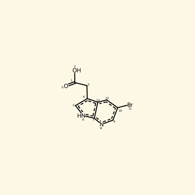 O=C(O)Cc1c[nH]c2ncc(Br)cc12